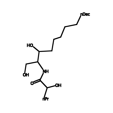 CCCCCCCCCCCCCCCC(O)C(CO)NC(=O)C(O)CCC